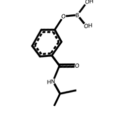 CC(C)NC(=O)c1cccc(OB(O)O)c1